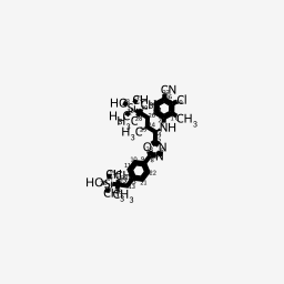 Cc1c(N[C@@H](c2nnc(-c3ccc(CC(C)(C)[Si](C)(C)O)cc3)o2)[C@H](C)CC(C)(C)[Si](C)(C)O)ccc(C#N)c1Cl